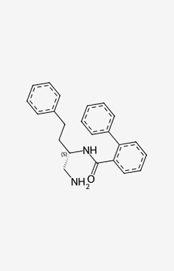 NC[C@H](CCc1ccccc1)NC(=O)c1ccccc1-c1ccccc1